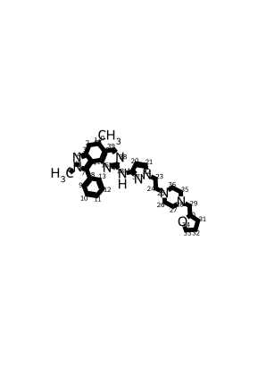 C[C@@H]1Cc2nn(C)c(-c3ccccc3)c2-c2nc(Nc3ccn(CCN4CCN(CC5CCCO5)CC4)n3)ncc21